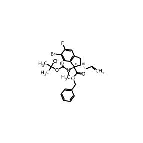 C=CC[C@H]1Cc2cc(F)c(Br)cc2[C@]1(C(=O)OCc1ccccc1)N(C)C(=O)OC(C)(C)C